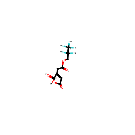 O=C1C=C(CC(=O)OCC(F)(F)C(F)(F)F)C(=O)O1